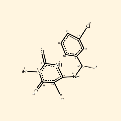 CC(C)n1c(=O)[nH]c(N[C@@H](C)c2cccc(Cl)c2)c(F)c1=O